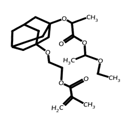 C=C(C)C(=O)OCCOC12CC3CC(C1)CC(OC(C)C(=O)OC(C)OCC)(C3)C2